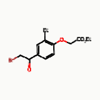 CCOC(=O)COc1ccc(C(=O)CBr)cc1CC